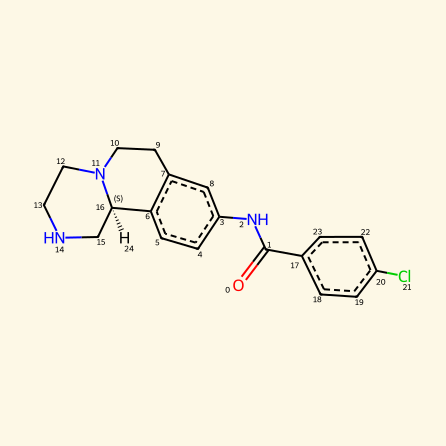 O=C(Nc1ccc2c(c1)CCN1CCNC[C@H]21)c1ccc(Cl)cc1